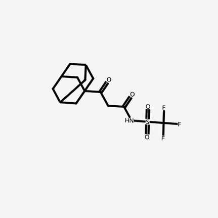 O=C(CC(=O)C12CC3CC(CC(C3)C1)C2)NS(=O)(=O)C(F)(F)F